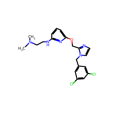 CN(C)CCNc1cccc(OCc2nccn2Cc2cc(Cl)cc(Cl)c2)n1